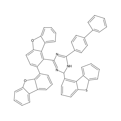 c1ccc(-c2ccc(C3=NC(c4c(-c5cccc6c5oc5ccccc56)ccc5oc6ccccc6c45)=NC(c4cccc5sc6ccccc6c45)N3)cc2)cc1